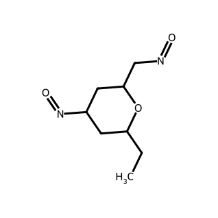 CCC1CC(N=O)CC(CN=O)O1